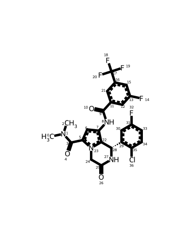 CN(C)C(=O)c1cc(NC(=O)c2cc(F)cc(C(F)(F)F)c2)c2n1CC(=O)N[C@H]2c1cc(F)ccc1Cl